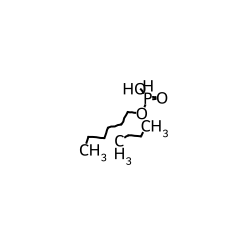 CCCC.CCCCCCO[PH](=O)O